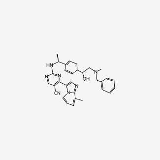 Cc1cccn2c(-c3nc(N[C@@H](C)c4ccc(C(O)CN(C)Cc5ccccc5)cc4)ncc3C#N)cnc12